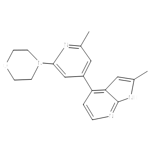 Cc1cc(-c2ccnc3[nH]c(C)cc23)cc(N2CCOCC2)n1